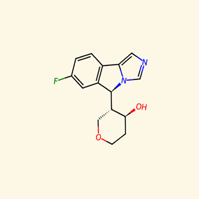 O[C@H]1CCOC[C@@H]1[C@H]1c2cc(F)ccc2-c2cncn21